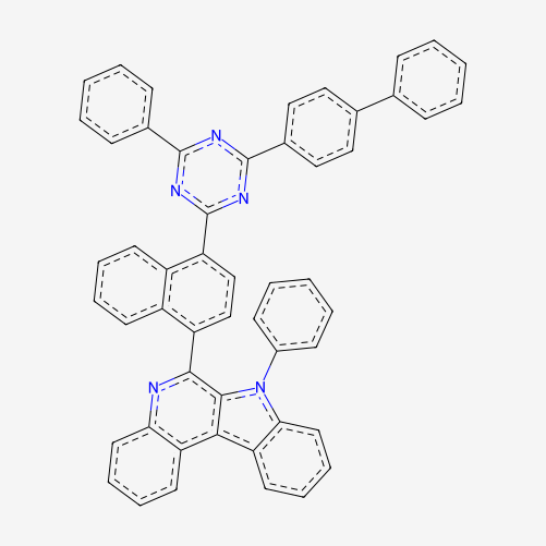 c1ccc(-c2ccc(-c3nc(-c4ccccc4)nc(-c4ccc(-c5nc6ccccc6c6c7ccccc7n(-c7ccccc7)c56)c5ccccc45)n3)cc2)cc1